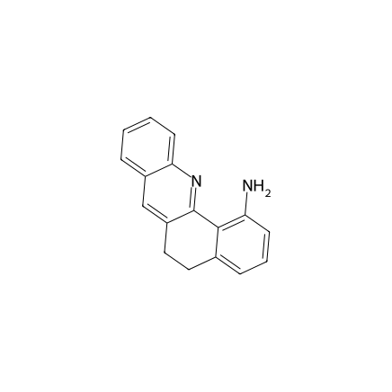 Nc1cccc2c1-c1nc3ccccc3cc1CC2